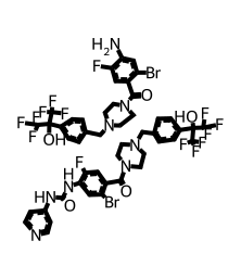 Nc1cc(Br)c(C(=O)N2CCN(Cc3ccc(C(O)(C(F)(F)F)C(F)(F)F)cc3)CC2)cc1F.O=C(Nc1ccncc1)Nc1cc(Br)c(C(=O)N2CCN(Cc3ccc(C(O)(C(F)(F)F)C(F)(F)F)cc3)CC2)cc1F